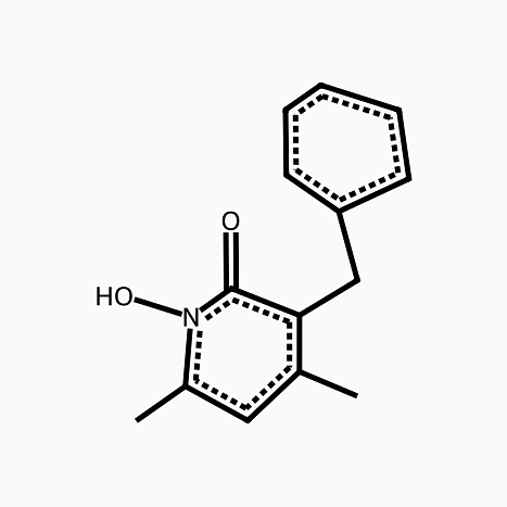 Cc1cc(C)n(O)c(=O)c1Cc1ccccc1